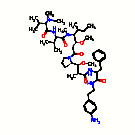 CC[C@H](C)[C@@H]([C@@H](CC(=O)N1CCC[C@H]1[C@H](OC)[C@@H](C)C(=O)N[C@@H](Cc1ccccc1)C(=O)NCCc1ccc(N)cc1)OC)N(C)C(=O)[C@@H](NC(=O)[C@H](C(C)C)N(C)C)C(C)C